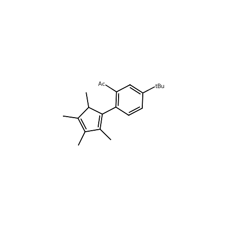 CC(=O)c1cc(C(C)(C)C)ccc1C1=C(C)C(C)=C(C)C1C